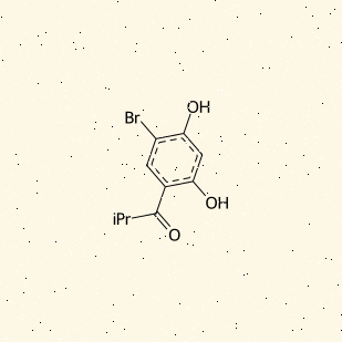 CC(C)C(=O)c1cc(Br)c(O)cc1O